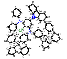 Clc1c(N(c2ccccc2)c2ccccc2)cc(-n2c3ccccc3c3ccccc32)cc1N(c1ccc([Si](c2ccccc2)(c2ccccc2)c2ccccc2)cc1)c1ccc([Si](c2ccccc2)(c2ccccc2)c2ccccc2)cc1